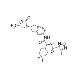 Cc1nonc1C(=O)N[C@H](C(=O)Nc1ccc2c(c1)CC(N1C[C@@H](C(F)(F)F)NC1=O)C2)C1CCC(F)(F)CC1